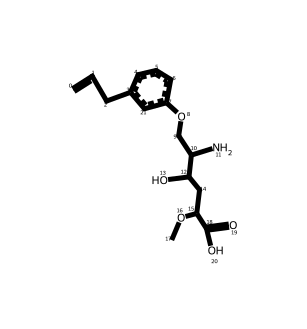 C=CCc1cccc(OCC(N)C(O)CC(OC)C(=O)O)c1